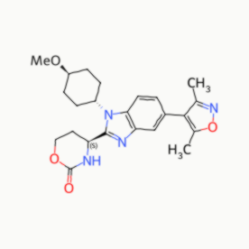 CO[C@H]1CC[C@H](n2c([C@@H]3CCOC(=O)N3)nc3cc(-c4c(C)noc4C)ccc32)CC1